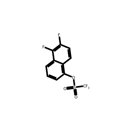 O=S(=O)(Oc1cccc2c(F)c(F)ccc12)C(F)(F)F